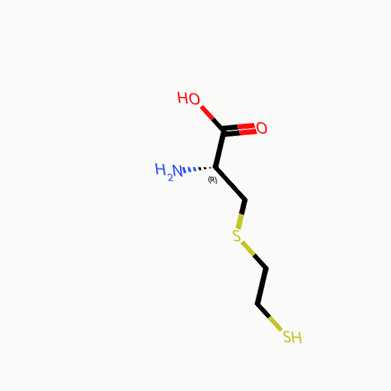 N[C@@H](CSCCS)C(=O)O